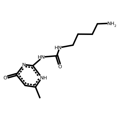 Cc1cc(=O)nc(NC(=O)NCCCCN)[nH]1